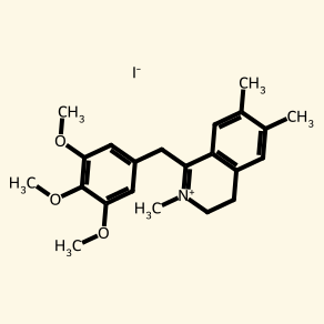 COc1cc(CC2=[N+](C)CCc3cc(C)c(C)cc32)cc(OC)c1OC.[I-]